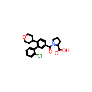 O=C(O)C1CCCN1C(=O)c1ccc(C2CCOCC2)c(-c2ccccc2Cl)c1